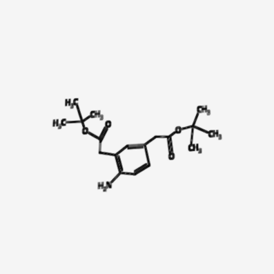 CC(C)(C)OC(=O)Cc1ccc(N)c(CC(=O)OC(C)(C)C)c1